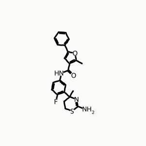 Cc1oc(-c2ccccc2)cc1C(=O)Nc1ccc(F)c(C2(C)CCSC(N)=N2)c1